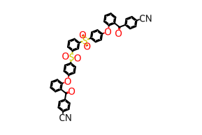 N#Cc1ccc(C(=O)c2ccccc2Oc2ccc(S(=O)(=O)c3cccc(S(=O)(=O)c4ccc(Oc5ccccc5C(=O)c5ccc(C#N)cc5)cc4)c3)cc2)cc1